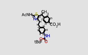 CC(=O)Nc1nc(CCc2ccc(NC(=O)OC(C)(C)C)cc2)c(C(C)c2ccc(C(=O)O)cc2)s1